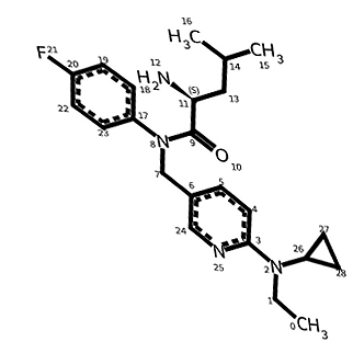 CCN(c1ccc(CN(C(=O)[C@@H](N)CC(C)C)c2ccc(F)cc2)cn1)C1CC1